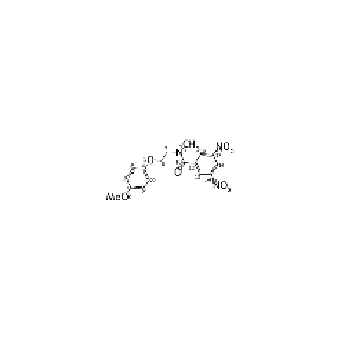 COc1ccc(OCCN(C)C(=O)c2cc([N+](=O)[O-])cc([N+](=O)[O-])c2)cc1